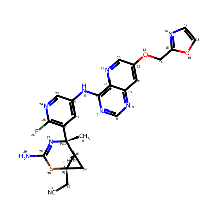 C[C@]1(c2cc(Nc3ncnc4cc(OCc5ncco5)cnc34)cnc2F)N=C(N)S[C@@]2(CC#N)C[C@H]21